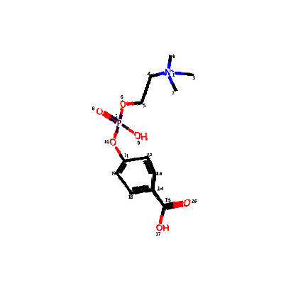 C[N+](C)(C)CCOP(=O)(O)Oc1ccc(C(=O)O)cc1